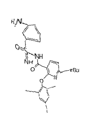 Cc1cc(C)c(Oc2nc(C(C)(C)C)ccc2C(=O)NS(=N)(=O)c2cccc(N)c2)c(C)c1